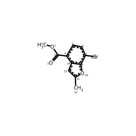 COC(=O)c1ccc(Br)c2oc(C)cc12